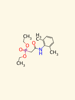 CCOP(=O)(CC(=O)Nc1c(C)cccc1C)OCC